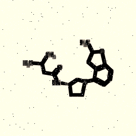 CC(C)CC(=O)N[C@H]1CCN(c2cccc3c2CC(C)O3)C1